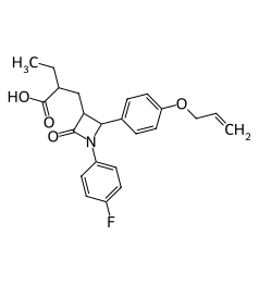 C=CCOc1ccc(C2C(CC(CC)C(=O)O)C(=O)N2c2ccc(F)cc2)cc1